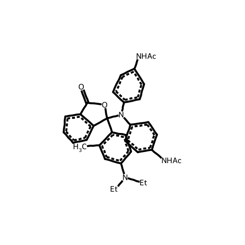 CCN(CC)c1ccc(C2(N(c3ccc(NC(C)=O)cc3)c3ccc(NC(C)=O)cc3)OC(=O)c3ccccc32)c(C)c1